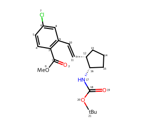 COC(=O)c1ccc(Cl)cc1/C=C/[C@@H]1CCC[C@@H]1NC(=O)OC(C)(C)C